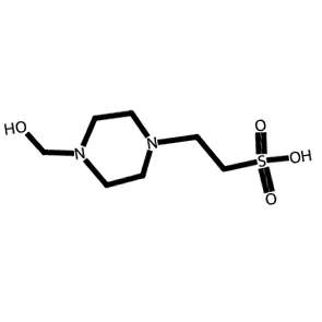 O=S(=O)(O)CCN1CCN(CO)CC1